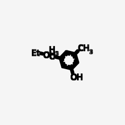 CCO.Cc1cc(C)cc(O)c1